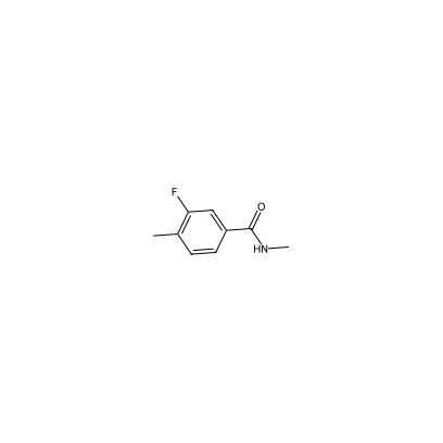 CNC(=O)c1ccc(C)c(F)c1